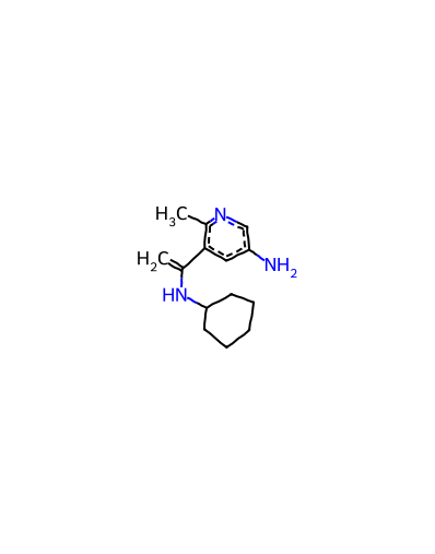 C=C(NC1CCCCC1)c1cc(N)cnc1C